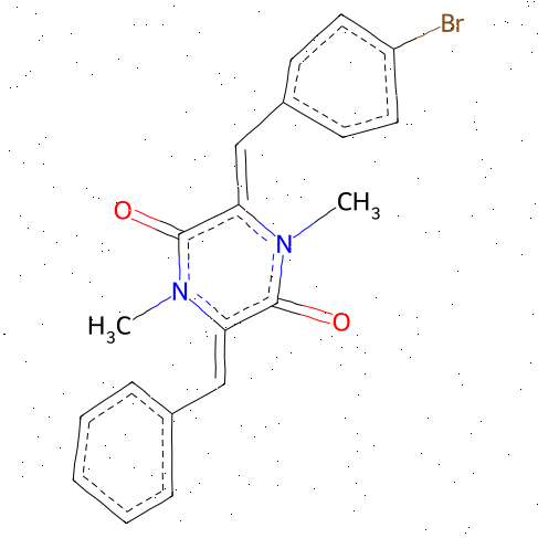 Cn1c(=O)/c(=C/c2ccc(Br)cc2)n(C)c(=O)/c1=C/c1ccccc1